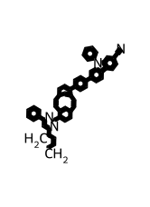 C=C/C=C\C(=C)c1cc(-c2ccccc2)nc(C2=CCC3C=C2/C=C\C2C=C(/C=C\3)C(c3ccc(-c4ccc5c6ccc(C#N)cc6n(-c6ccccc6)c5c4)cc3)=CC2)n1